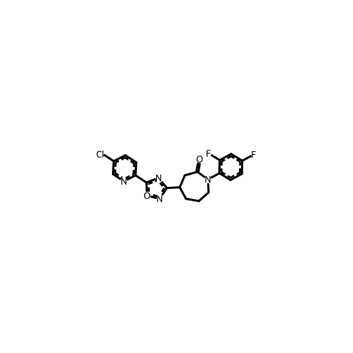 O=C1CC(c2noc(-c3ccc(Cl)cn3)n2)CCCN1c1ccc(F)cc1F